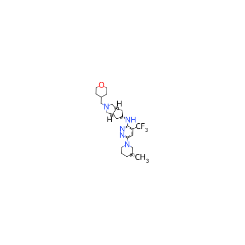 C[C@@H]1CCCN(c2cc(C(F)(F)F)c(N[C@@H]3C[C@@H]4CN(CC5CCOCC5)C[C@@H]4C3)nn2)C1